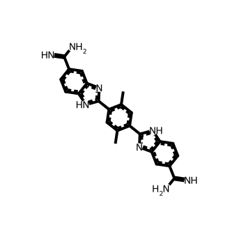 Cc1cc(-c2nc3cc(C(=N)N)ccc3[nH]2)c(C)cc1-c1nc2cc(C(=N)N)ccc2[nH]1